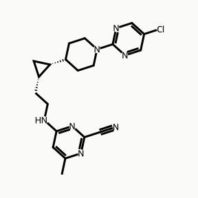 Cc1cc(NCC[C@@H]2C[C@@H]2C2CCN(c3ncc(Cl)cn3)CC2)nc(C#N)n1